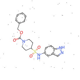 O=C(OCc1ccccc1)N1CCC(S(=O)(=O)Nc2ccc3[nH]ncc3c2)CC1